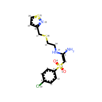 NC(=CS(=O)(=O)c1ccc(Cl)cc1)NCCSCc1ccsn1